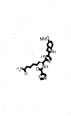 COc1ccc2[nH]c(-c3cnc([C@H](CCCCCC(N)=O)NC(=O)c4cncs4)[nH]3)cc2c1